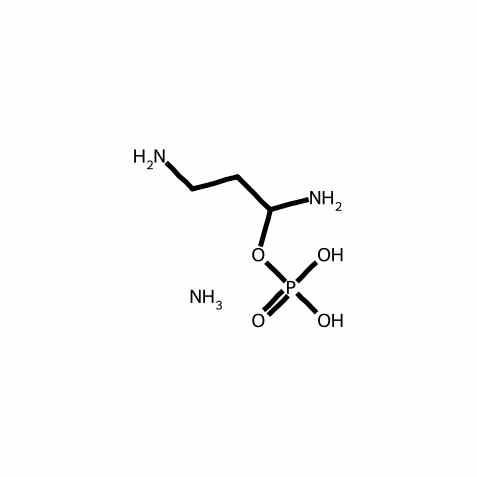 N.NCCC(N)OP(=O)(O)O